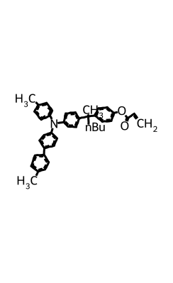 C=CC(=O)Oc1ccc(C(C)(CCCC)c2ccc(N(c3ccc(C)cc3)c3ccc(-c4ccc(C)cc4)cc3)cc2)cc1